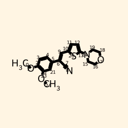 COc1ccc(/C(C#N)=C/c2ccc(N3CCOCC3)s2)cc1OC